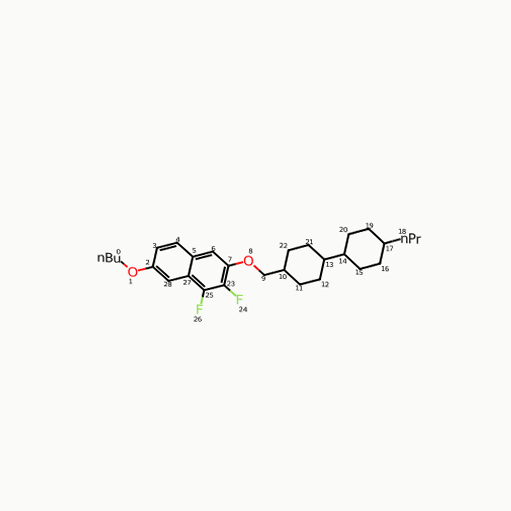 CCCCOc1ccc2cc(OCC3CCC(C4CCC(CCC)CC4)CC3)c(F)c(F)c2c1